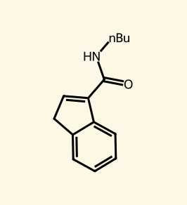 CCCCNC(=O)C1=CCc2ccccc21